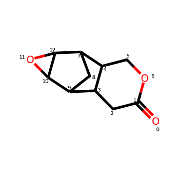 O=C1CC2C(CO1)C1CC2C2OC12